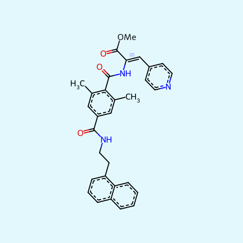 COC(=O)/C(=C/c1ccncc1)NC(=O)c1c(C)cc(C(=O)NCCc2cccc3ccccc23)cc1C